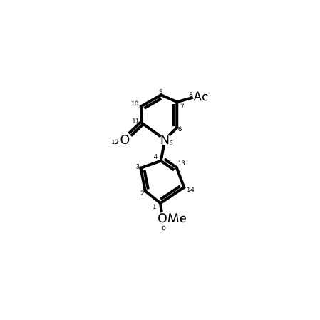 COc1ccc(-n2cc(C(C)=O)ccc2=O)cc1